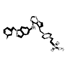 CS(=O)(=O)CCN1CCN(Cc2ccn3ncnc(Nc4ccc5c(cnn5Cc5cccc(F)c5)c4)c23)CC1